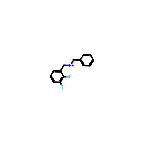 Fc1cccc(CN[CH]c2ccccc2)c1F